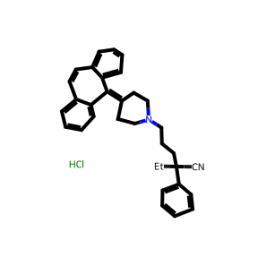 CCC(C#N)(CCCN1CCC(=C2c3ccccc3C=Cc3ccccc32)CC1)c1ccccc1.Cl